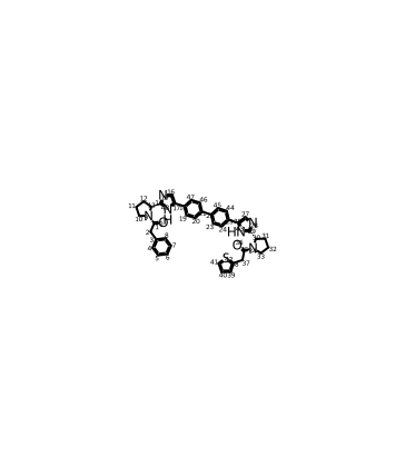 O=C(Cc1ccccc1)N1CCC[C@H]1c1ncc(-c2ccc(-c3ccc(-c4cnc([C@@H]5CCCN5C(=O)Cc5cccs5)[nH]4)cc3)cc2)[nH]1